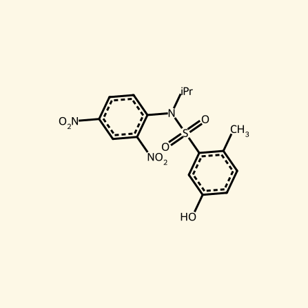 Cc1ccc(O)cc1S(=O)(=O)N(c1ccc([N+](=O)[O-])cc1[N+](=O)[O-])C(C)C